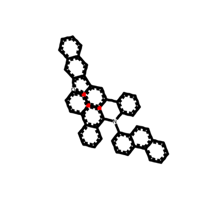 c1ccc(N(c2cccc3c2ccc2ccccc23)c2cc3ccccc3c3ccccc23)c(-c2ccc3oc4cc5ccccc5cc4c3c2)c1